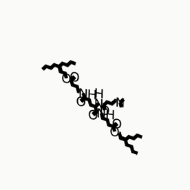 CCCCC(=CCOC(=O)CCCNC(=O)CCC(NC(=O)CCCN(C)C)C(=O)NCCCC(=O)OCC=C(CCCC)CCCC)CCCC